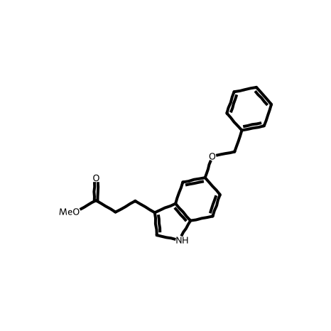 COC(=O)CCc1c[nH]c2ccc(OCc3ccccc3)cc12